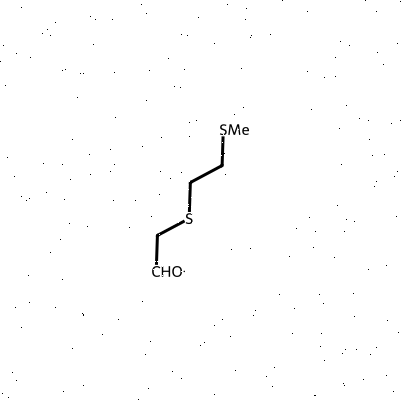 CSCCSC[C]=O